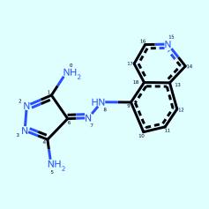 NC1=NN=C(N)C1=NNc1cccc2cnccc12